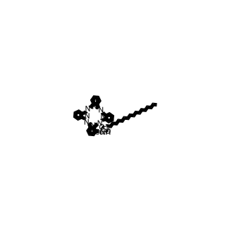 CCCCCCCCCCCCCCCCCCS(=O)(=O)[NH][Cu][c]1cccc2c3nc4nc(nc5[nH]c(nc6nc(nc([nH]3)c12)-c1ccccc1-6)c1ccccc51)-c1ccccc1-4